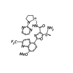 COc1ccc(-c2nc(C(=O)NC[C@H]3CCCN3c3ncccn3)c([C@H](C)N)o2)c2ccc(C(F)(F)F)nc12